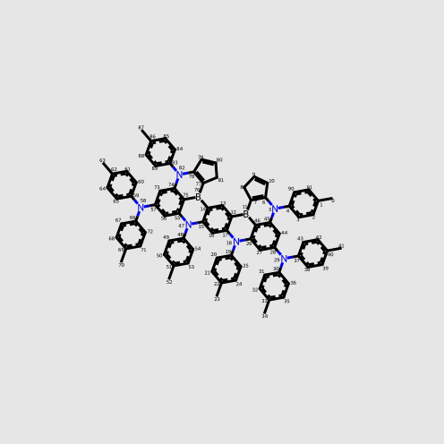 Cc1ccc(N2C3=C(CC=C3)B3c4cc5c(cc4N(c4ccc(C)cc4)c4cc(N(c6ccc(C)cc6)c6ccc(C)cc6)cc2c43)N(c2ccc(C)cc2)c2cc(N(c3ccc(C)cc3)c3ccc(C)cc3)cc3c2B5C2=C(C=CC2)N3c2ccc(C)cc2)cc1